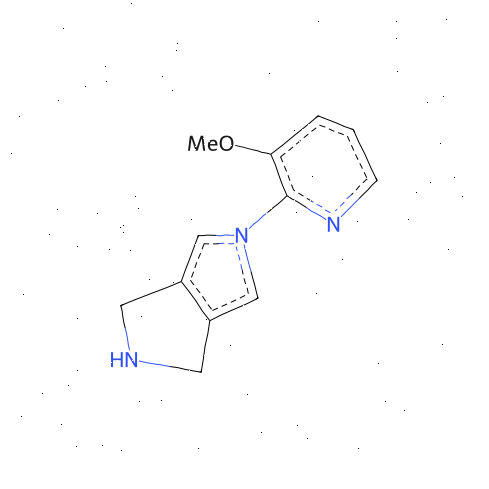 COc1cccnc1-n1cc2c(c1)CNC2